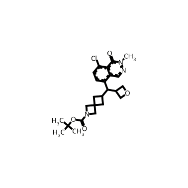 Cn1ncc2c(C(C3COC3)C3CC4(C3)CN(C(=O)OC(C)(C)C)C4)ccc(Cl)c2c1=O